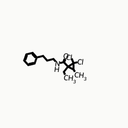 CCC1(C(=O)NCCCc2ccccc2)C(C)C1(Cl)Cl